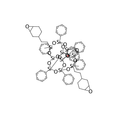 C[Si]1(CCC2CCC3OC3C2)O[Si]2(c3ccccc3)O[Si]3(c4ccccc4)O[Si]4(c5ccccc5)O[Si](C)(CCC5CCC6OC6C5)O[Si]5(c6ccccc6)O[Si](c6ccccc6)(O[Si](c6ccccc6)(O1)O[Si](c1ccccc1)(O5)O[Si](c1ccccc1)(O2)O4)O3